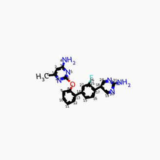 Cc1cc(N)nc(Oc2ccccc2-c2ccc(-c3cnc(N)nc3)c(F)c2)n1